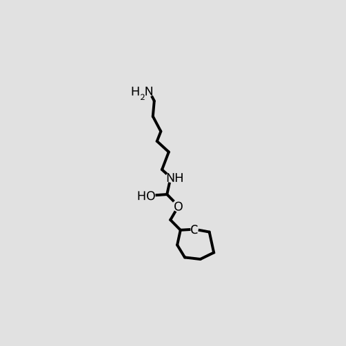 NCCCCCCNC(O)OCC1CCCCCC1